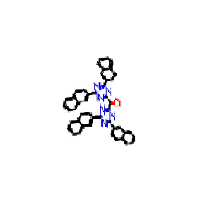 O=C(c1nc(-c2ccc3ccccc3c2)nc(-c2ccc3ccccc3c2)n1)c1nc(-c2ccc3ccccc3c2)nc(-c2ccc3ccccc3c2)n1